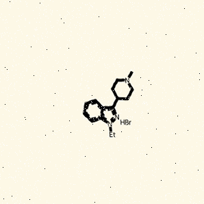 Br.CCn1nc(C2CCN(C)CC2)c2ccccc21